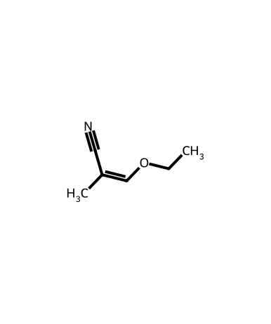 CCOC=C(C)C#N